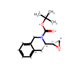 CC(C)(C)OC(=O)N1Cc2ccccc2C[C@H]1[C@@H]1CO1